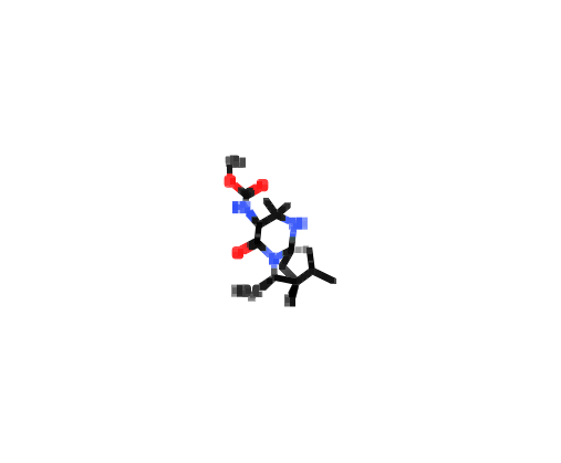 CC1C[C@]23C[C@H]1[C@@H](C(=O)O)N2C(=O)[C@@H](NC(=O)OC(C)(C)C)C(C)(C)N3